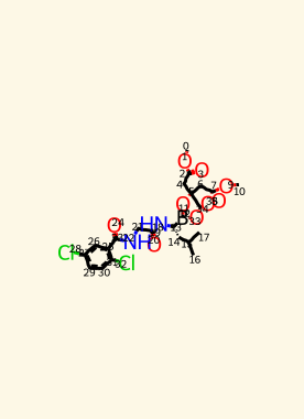 COC(=O)CC1(CC(=O)OC)OB([C@H](CC(C)C)NC(=O)CNC(=O)c2cc(Cl)ccc2Cl)OC1=O